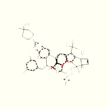 Cn1nc(NS(C)(=O)=O)c2cccc(-c3cc4sc(N5CCC(C)(O)CC5)nc4nc3C(Cc3cc(F)cc(F)c3)NC(=O)Cn3nc(C(F)(F)F)c4c3C(F)(F)[C@@H]3C=C[C@H]43)c21